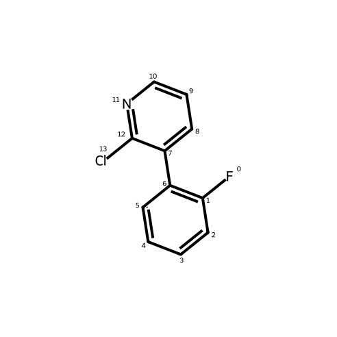 Fc1ccc[c]c1-c1cccnc1Cl